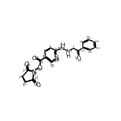 O=C(CNNc1ccc(C(=O)ON2C(=O)CCC2=O)cn1)c1ccccc1